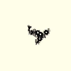 O=C(c1cc(C(F)(F)F)ccn1)[C@]12Cc3cnn(-c4ccc(F)cc4)c3C=C1CC[C@H](S(=O)(=O)c1cnn(CC3CC3)c1)C2